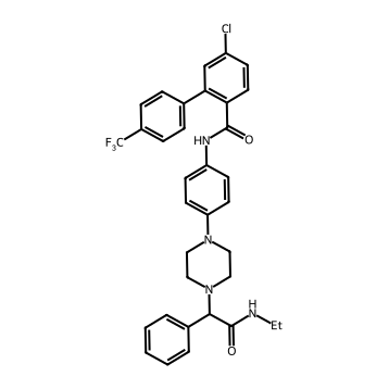 CCNC(=O)C(c1ccccc1)N1CCN(c2ccc(NC(=O)c3ccc(Cl)cc3-c3ccc(C(F)(F)F)cc3)cc2)CC1